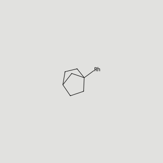 [Rh][C]12CCC(CC1)C2